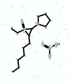 CCCCCCC1C(N2CCCC2)P1(=O)CC.O=[N+]([O-])O